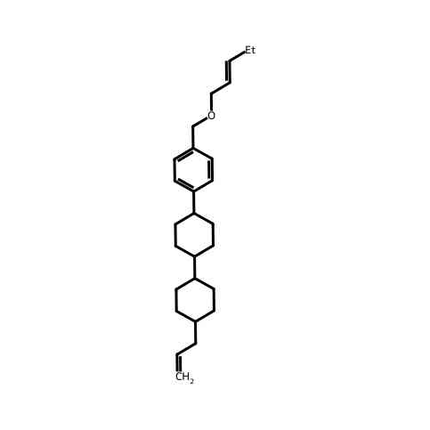 C=CCC1CCC(C2CCC(c3ccc(COCC=CCC)cc3)CC2)CC1